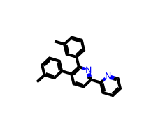 Cc1cccc(-c2ccc(-c3ccccn3)nc2-c2cccc(C)c2)c1